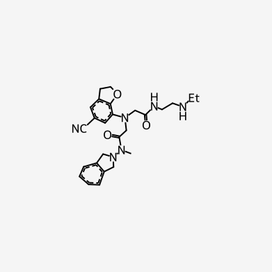 CCNCCNC(=O)CN(CC(=O)N(C)N1Cc2ccccc2C1)c1cc(C#N)cc2c1OCC2